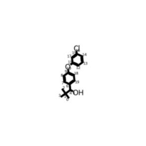 CC(C)(C)C(O)c1ccc(Oc2cccc(Cl)c2)cc1